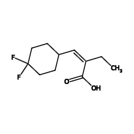 CCC(=CC1CCC(F)(F)CC1)C(=O)O